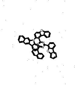 c1ccc2cc3c(cc2c1)c1ccccc1n3-c1ccc2oc3ccccc3c2c1-c1nc(-c2cccc3ccccc23)nc(-c2cccc3c2oc2ccccc23)n1